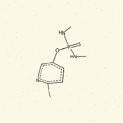 CNP(=S)(NC)Oc1ccc(C)nc1